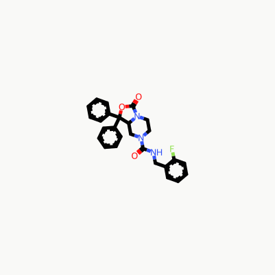 O=C(NCc1ccccc1F)N1CCN2C(=O)OC(c3ccccc3)(c3ccccc3)C2C1